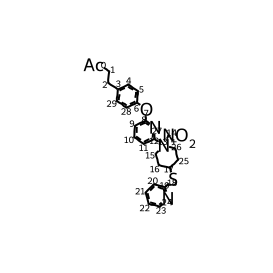 CC(=O)CCc1ccc(Oc2cccc([N+]3([N+](=O)[O-])CCC(Sc4ccccn4)CC3)n2)cc1